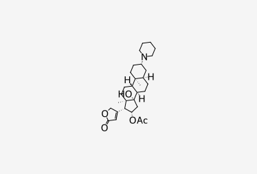 CC(=O)O[C@H]1C[C@]2(O)[C@@H]3CC[C@@H]4C[C@@H](N5CCCCC5)CC[C@]4(C)[C@H]3CC[C@]2(C)[C@H]1C1=CC(=O)OC1